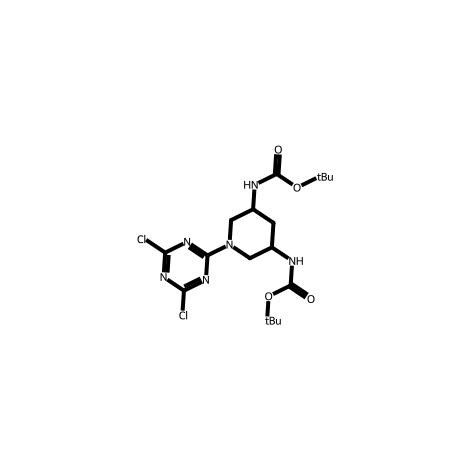 CC(C)(C)OC(=O)NC1CC(NC(=O)OC(C)(C)C)CN(c2nc(Cl)nc(Cl)n2)C1